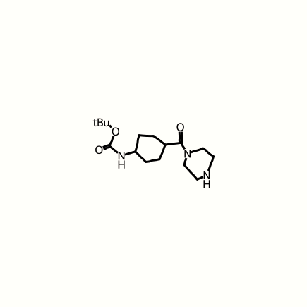 CC(C)(C)OC(=O)NC1CCC(C(=O)N2CCNCC2)CC1